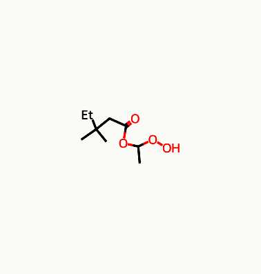 CCC(C)(C)CC(=O)OC(C)OO